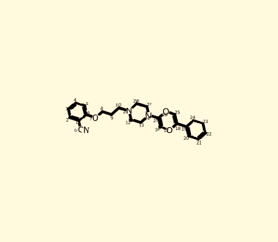 N#Cc1ccccc1OCCCN1CCN(C2=COC(C3=CC=CCC3)=CO2)CC1